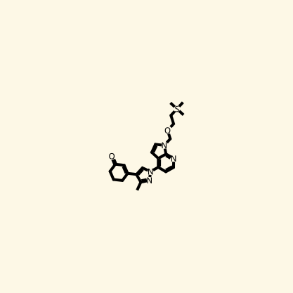 Cc1nn(-c2ccnc3c2ccn3COCCS(C)(C)C)cc1C1=CC(=O)CCC1